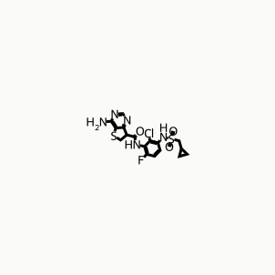 Nc1ncnc2c1SCC2C(=O)Nc1c(F)ccc(NS(=O)(=O)CC2CC2)c1Cl